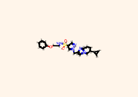 O=S(=O)(NCCOc1ccccc1)c1cnn(Cc2cn3cc(C4CC4)ccc3n2)c1